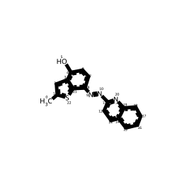 Cc1cc2c(O)ccc(/N=N/c3ccc4ccccc4n3)c2s1